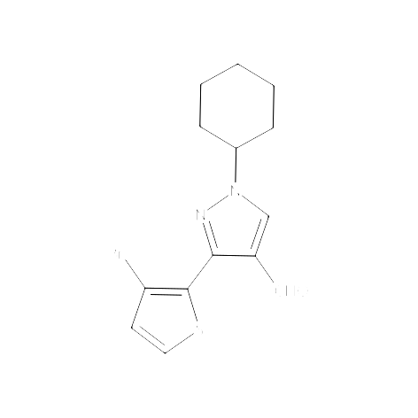 O=Cc1cn(C2CCCCC2)nc1-c1sccc1Br